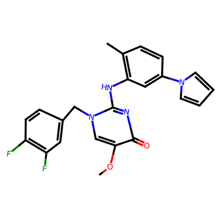 COc1cn(Cc2ccc(F)c(F)c2)c(Nc2cc(-n3cccc3)ccc2C)nc1=O